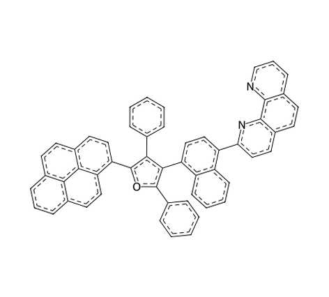 c1ccc(-c2oc(-c3ccc4ccc5cccc6ccc3c4c56)c(-c3ccccc3)c2-c2ccc(-c3ccc4ccc5cccnc5c4n3)c3ccccc23)cc1